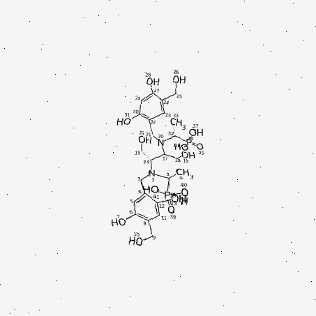 CC(N(Cc1cc(O)c(CO)cc1O)[C@H](CO)C(CO)N(Cc1cc(CO)c(O)cc1O)[C@H](C)P(=O)(O)O)P(=O)(O)O